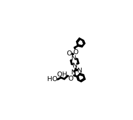 O=C(OCc1ccccc1)N1CCN(c2nc(OCC[C@@H](O)CO)c3ccccc3n2)CC1